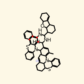 C/C=C1/CCCC2Sc3ccccc3N(C3=C(C)C=C(C4NC(c5ccccc5)NC(C5CCCC6C7=CCCCC7OC65)N4)C(N4C5=C(CCC=C5)Sc5ccccc54)C3)C12